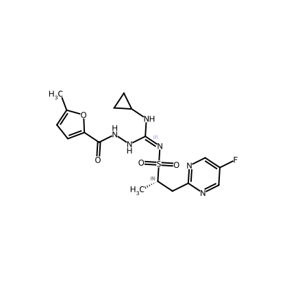 Cc1ccc(C(=O)NN/C(=N\S(=O)(=O)[C@@H](C)Cc2ncc(F)cn2)NC2CC2)o1